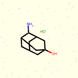 Cl.NC1C2CC3CC1CC(O)(C3)C2